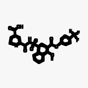 COc1c(C(=O)Oc2ccc(C(F)(F)F)cc2)cc(S(=O)(=O)NC(=O)c2cc(C(=O)O)ccn2)c2ccccc12